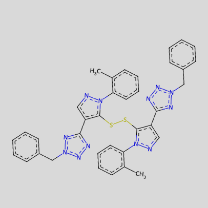 Cc1ccccc1-n1ncc(-c2nnn(Cc3ccccc3)n2)c1SSc1c(-c2nnn(Cc3ccccc3)n2)cnn1-c1ccccc1C